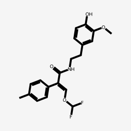 COc1cc(CCNC(=O)C(=COC(F)F)c2ccc(C)cc2)ccc1O